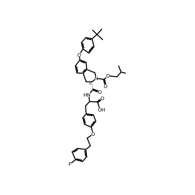 CC(C)COC(=O)N1Cc2cc(Oc3ccc(C(C)(C)C)cc3)ccc2C[C@H]1C(=O)NC(Cc1ccc(OCCc2ccc(F)cc2)cc1)C(=O)O